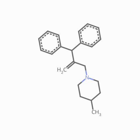 C=C(CN1CCC(C)CC1)C(c1ccccc1)c1ccccc1